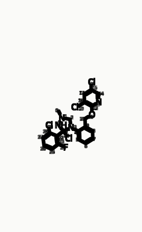 CN1CN(c2ccccc2COc2ncc(Cl)cc2Cl)C(Cl)(c2c(F)cccc2Cl)N1